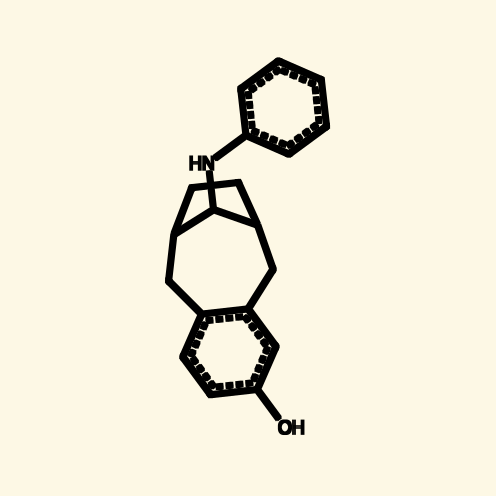 Oc1ccc2c(c1)CC1CCC(C2)C1Nc1ccccc1